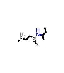 CCC(C)N[SiH2]CC[SiH2]C